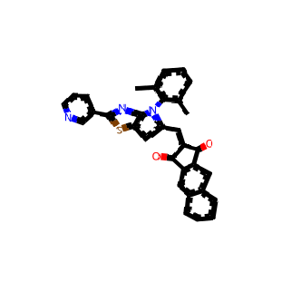 Cc1cccc(C)c1-n1c(C=C2C(=O)c3cc4ccccc4cc3C2=O)cc2sc(-c3cccnc3)nc21